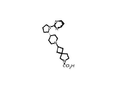 O=C(O)N1CCC2(CC(N3CCC([C@@H]4CCCN4c4ncccn4)CC3)C2)C1